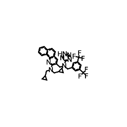 FC(F)(F)c1cc(CN(Cc2cc3ccc4ccccc4c3nc2N(CC2CC2)CC2CC2)c2nn[nH]n2)cc(C(F)(F)F)c1